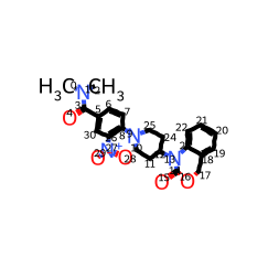 CN(C)C(=O)c1ccc(N2CCC(N3C(=O)OCc4ccccc43)CC2)c([N+](=O)[O-])c1